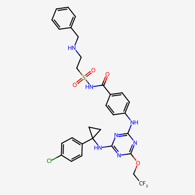 O=C(NS(=O)(=O)CCNCc1ccccc1)c1ccc(Nc2nc(NC3(c4ccc(Cl)cc4)CC3)nc(OCC(F)(F)F)n2)cc1